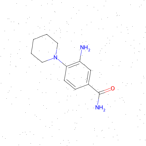 NC(=O)c1ccc(N2CCCCC2)c(N)c1